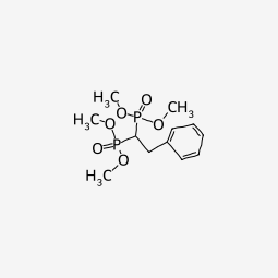 COP(=O)(OC)C(Cc1ccccc1)P(=O)(OC)OC